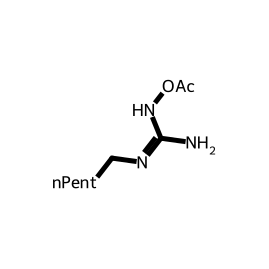 CCCCCCN=C(N)NOC(C)=O